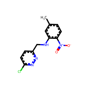 Cc1ccc([N+](=O)[O-])c(NCc2ccc(Cl)nn2)c1